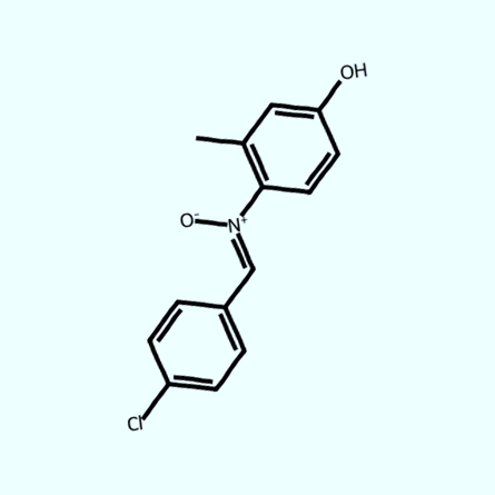 Cc1cc(O)ccc1[N+]([O-])=Cc1ccc(Cl)cc1